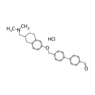 CN(C)CC1CCc2cc(OCc3ccc(-c4ccc(C=O)cc4)cc3)ccc2C1.Cl